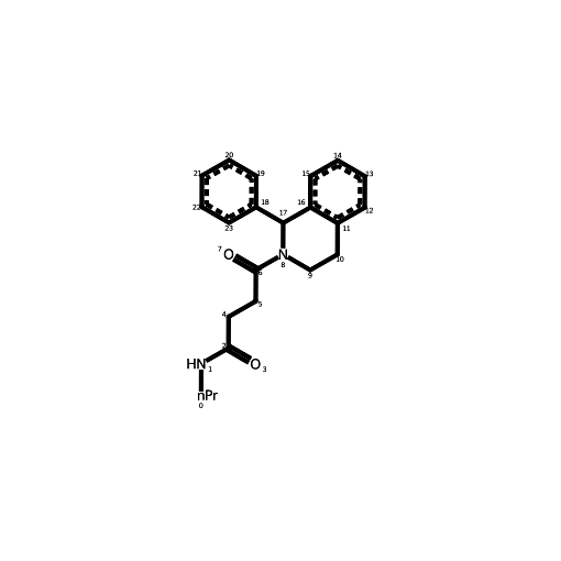 CCCNC(=O)CCC(=O)N1CCc2ccccc2C1c1ccccc1